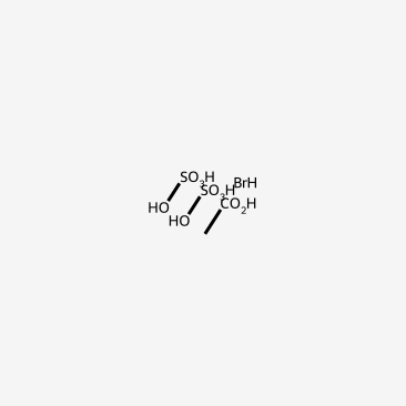 Br.CC(=O)O.O=S(=O)(O)O.O=S(=O)(O)O